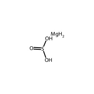 O=S(O)O.[MgH2]